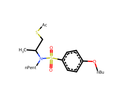 CCCCCN(C(C)CSC(C)=O)S(=O)(=O)c1ccc(OCCCC)cc1